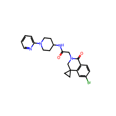 O=C(CN1CC2(CC2)c2cc(Br)ccc2C1=O)NC1CCN(c2ccccn2)CC1